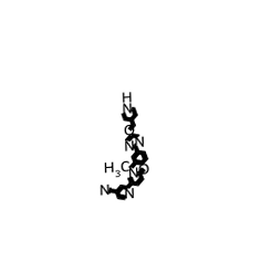 C[C@H](c1cccc(-c2ncc(OCC3CCNCC3)cn2)c1)n1cc(-c2cc(C#N)ccn2)ccc1=O